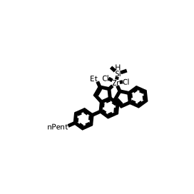 CCCCCc1ccc(-c2cccc3c2C=C(CC)[CH]3[Zr]([Cl])([Cl])([CH]2C=Cc3ccccc32)[SiH](C)C)cc1